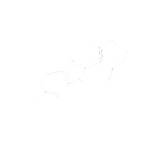 Cc1cccc(Cl)c1-c1nc2ccc(C(=O)O)cc2[nH]1